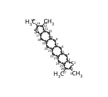 Cc1sc2cc3cc4cc5cc6c(C)c(C)sc6cc5cc4cc3cc2c1C